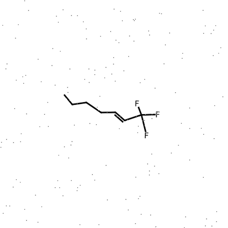 CCCC/C=C/C(F)(F)F